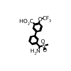 CS(=O)(=O)C(N)c1cccc(-c2ccc(OC(F)(F)F)c(C(=O)O)c2)c1